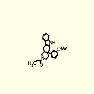 C=CC(=O)N1CCC2(c3cccc(OC)c3)Cc3[nH]c4ccccc4c3CC2C1